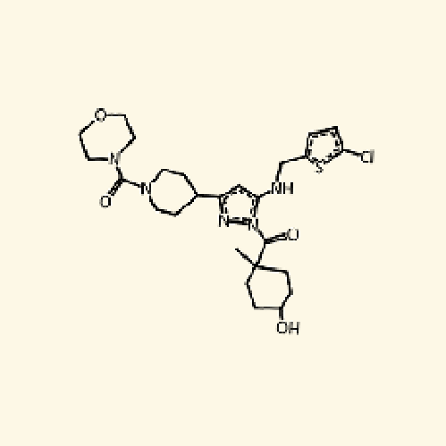 CC1(C(=O)n2nc(C3CCN(C(=O)N4CCOCC4)CC3)cc2NCc2ccc(Cl)s2)CCC(O)CC1